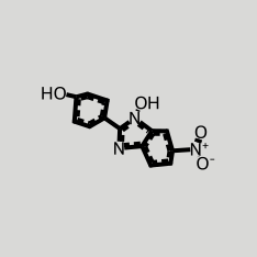 O=[N+]([O-])c1ccc2nc(-c3ccc(O)cc3)n(O)c2c1